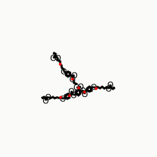 C=CC(=O)OCCCCCCOc1ccc(C(=O)OCCCOC(=O)c2cc(OC(=O)c3ccc(OCCCCCCOC(=O)C=C)cc3)ccc2OC(=O)c2ccc(OCCCCCCOC(=O)C=C)cc2)cc1